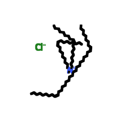 CCCCCCCC/C=C\CCCCCCCCC(CCCCCCCC/C=C\CCCCCCCC)[N+](C)(CCCCCCCC/C=C\CCCCCCCC)CCCCCCCC/C=C\CCCCCCCC.[Cl-]